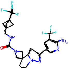 Nc1ncc(-c2cc3n(n2)CCC32CN(C(=O)NCC34CC(C(F)(F)F)(C3)C4)C2)cc1C(F)(F)F